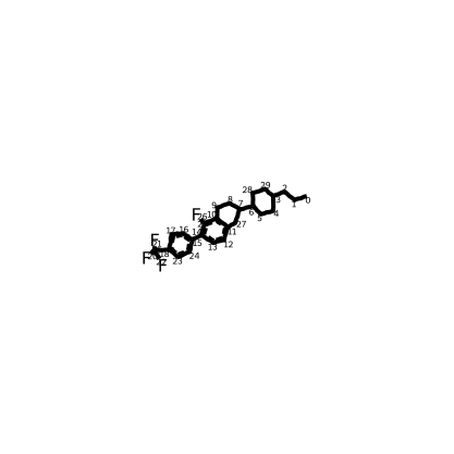 CCCC1CCC(C2CCc3c(ccc(-c4ccc(C(F)(F)F)cc4)c3F)C2)CC1